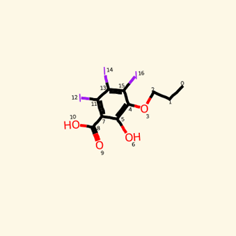 CCCOc1c(O)c(C(=O)O)c(I)c(I)c1I